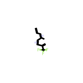 C=C/C=C(C)\C=C/C(=C)C(F)(F)F